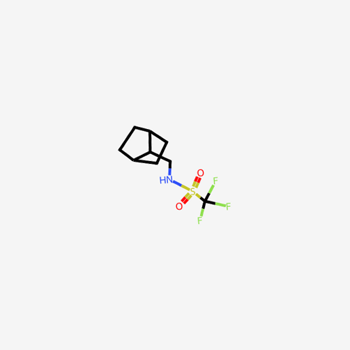 O=S(=O)(NCC1C2CCC1CC2)C(F)(F)F